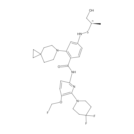 C[C@H](CO)SNc1ccc(C(=O)Nc2ccc(OCF)c(N3CCC(F)(F)CC3)n2)c(N2CCC3(CC2)CC3)c1